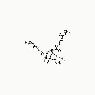 C=CC(=O)OCCOC(=O)NC1CC(C)(C)CC(C)(NC(=O)OCCOC(=O)C=C)C1